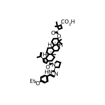 C=C(C)[C@@H]1CC[C@]2(C(=O)N3CCC[C@H]3c3ncc(-c4ccc(OCC)cc4)[nH]3)CC[C@]3(C)[C@H](CC[C@@H]4[C@@]5(C)CC[C@H](OC(=O)[C@H]6C[C@@H](C(=O)O)C6(C)C)C(C)(C)[C@@H]5CC[C@]43C)[C@@H]12